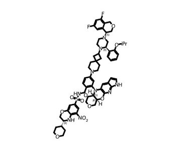 CC(C)Oc1ccccc1[C@@H]1CN([C@@H]2COCc3c(F)cc(F)cc32)CCN1C1CC2(CCN(c3ccc(C(=O)NS(=O)(=O)c4cc5c(c([N+](=O)[O-])c4)N[C@H](C4CCOCC4)CO5)c(N4c5cc6cc[nH]c6nc5O[C@H]5COCC[C@@H]54)c3)CC2)C1